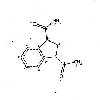 CC(=O)N1CC(C(N)=O)c2[c]cccc21